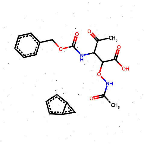 CC(=O)NOC(C(=O)O)C(NC(=O)OCc1ccccc1)C(C)=O.c1cc2cc-2c1